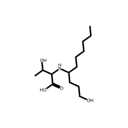 CCCCCCC(CCCO)NC(C(=O)O)C(C)O